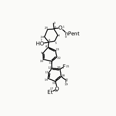 CCCCCOC1(C)CCC(O)(c2ccc(-c3ccc(OCC)c(F)c3F)cc2)CC1